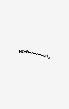 NCCCCCCCCCCCCOCCO